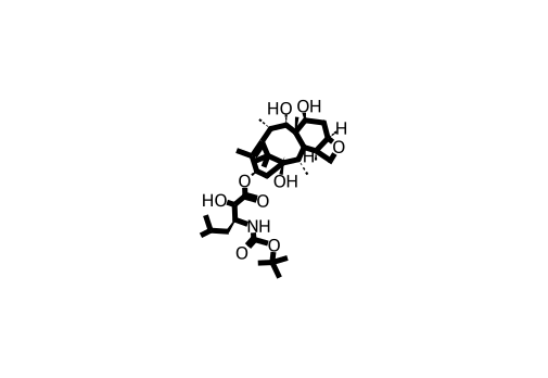 CC1=C2[C@H](C)[C@H](O)[C@@]3(C)[C@H]([C@H](C)[C@](O)(C[C@@H]1OC(=O)C(O)[C@H](CC(C)C)NC(=O)OC(C)(C)C)C2(C)C)[C@]1(C)CO[C@@H]1C[C@@H]3O